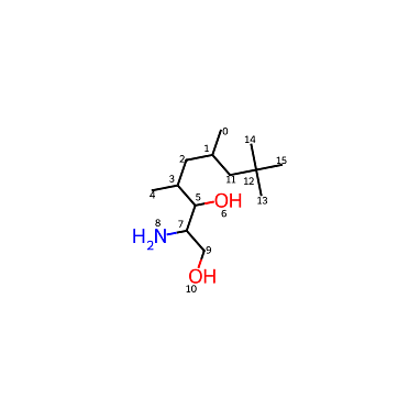 CC(CC(C)C(O)C(N)CO)CC(C)(C)C